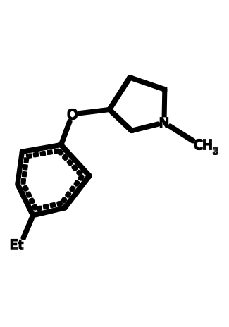 CCc1ccc(OC2CCN(C)C2)cc1